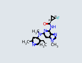 CCc1cnc(C)cc1N(C)c1cc2c(ncn2C)c(NC(=O)[C@H]2C[C@H]2F)n1